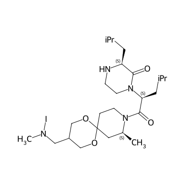 CC(C)C[C@@H]1NCCN([C@@H](CC(C)C)C(=O)N2CCC3(C[C@@H]2C)OCC(CN(C)I)CO3)C1=O